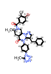 Cc1nnnn1-c1ccc(-n2c(=O)c3c(n4ncc(Cc5ccccc5)c24)CN(C(=O)c2ccc(Br)c(C(F)(F)F)c2)[C@H](C)C3)cc1